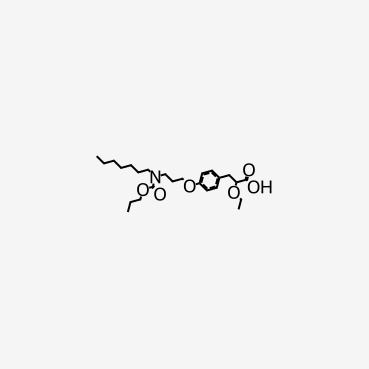 CCCCCCCN(CCCOc1ccc(CC(OCC)C(=O)O)cc1)C(=O)OCCC